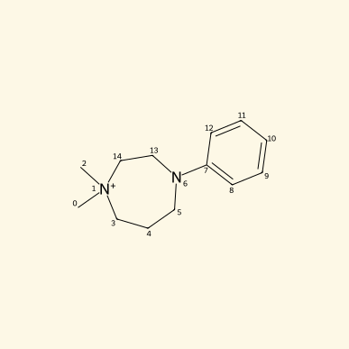 C[N+]1(C)CCCN(c2ccccc2)CC1